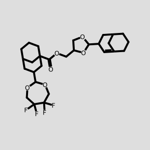 O=C(OCC1COC(C2C=C3CCCC(C3)C2)O1)C12CCCC(CC(C3OCC(F)(F)C(F)(F)CO3)C1)C2